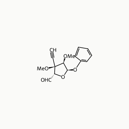 C#C[C@@]1(OC)[C@@H](C=O)O[C@H](Oc2ccccc2)[C@@H]1OC